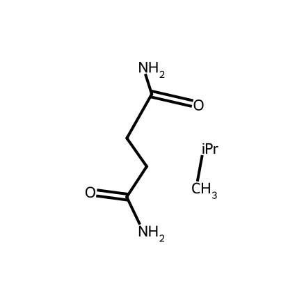 CC(C)C.NC(=O)CCC(N)=O